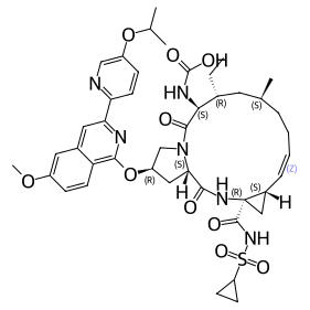 CC[C@@H]1C[C@@H](C)CC/C=C\[C@@H]2C[C@@]2(C(=O)NS(=O)(=O)C2CC2)NC(=O)[C@@H]2C[C@@H](Oc3nc(-c4ccc(OC(C)C)cn4)cc4cc(OC)ccc34)CN2C(=O)[C@H]1NC(=O)O